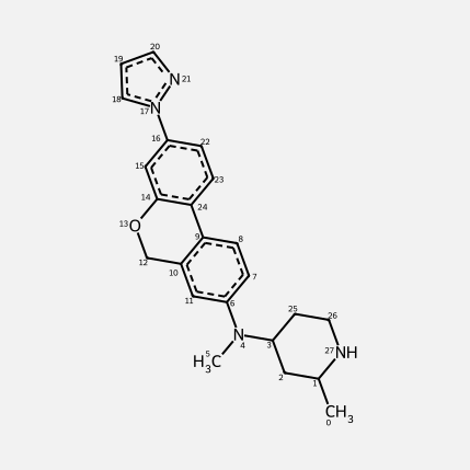 CC1CC(N(C)c2ccc3c(c2)COc2cc(-n4cccn4)ccc2-3)CCN1